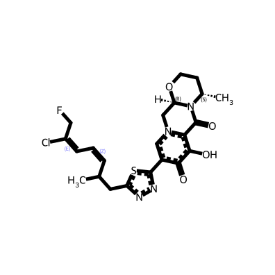 CC(/C=C\C=C(\Cl)CF)Cc1nnc(-c2cn3c(c(O)c2=O)C(=O)N2[C@@H](C)CCO[C@@H]2C3)s1